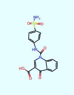 NS(=O)(=O)c1ccc(NC(=O)n2cc(C(=O)O)c(=O)c3ccccc32)cc1